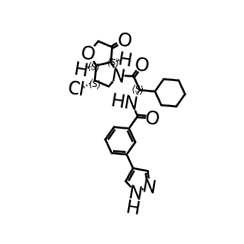 O=C(N[C@H](C(=O)N1C[C@H](Cl)[C@H]2OCC(=O)[C@H]21)C1CCCCC1)c1cccc(-c2cn[nH]c2)c1